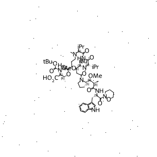 CC[C@H](C)[C@@H]([C@@H](CC(=O)N1CCC[C@H]1[C@H](OC)[C@@H](C)C(=O)N[C@@H](Cc1c[nH]c2ccccc12)C(=O)N1CCCCO1)OC)N(C)[C@H](C(=O)NC(=O)[C@H](C(C)C)N(C)CCCC(=O)O[C@H](C)[C@H](NC(=O)OC(C)(C)C)C(=O)O)C(C)C